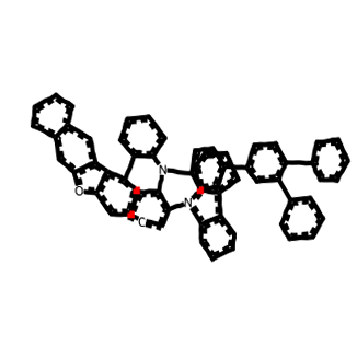 c1ccc(-c2ccc(-c3ccc(N(c4ccccc4-c4cccc5oc6cc7ccccc7cc6c45)c4ccccc4-n4c5ccccc5c5ccccc54)cc3)cc2-c2ccccc2)cc1